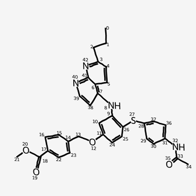 CCCc1ccc2c(Nc3cc(OCc4ccc(C(=O)OC)cc4)ccc3Sc3ccc(NC(C)=O)cc3)ccnc2n1